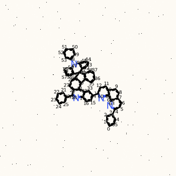 c1ccc(-c2ccc3ccc4ccc(-c5ccc6nc(-c7ccccc7)c7ccc8c(c7c6c5)-c5ccccc5C85c6ccccc6N(c6ccccc6)c6ccccc65)nc4c3n2)cc1